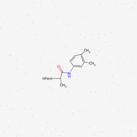 CCCCCC(C)C(=O)Nc1ccc(C)c(C)c1